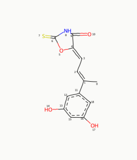 CC(=CC=C1OC(=S)NC1=O)c1cc(O)cc(O)c1